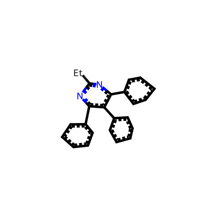 CCc1nc(-c2ccccc2)c(-c2ccccc2)c(-c2ccccc2)n1